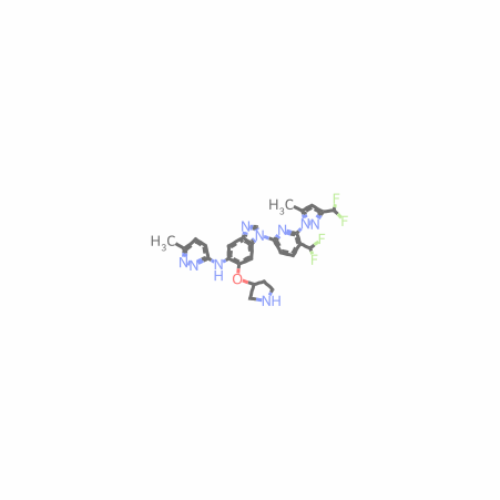 Cc1ccc(Nc2cc3ncn(-c4ccc(C(F)F)c(-n5nc(C(F)F)cc5C)n4)c3cc2OC2CCNC2)nn1